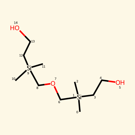 C[Si](C)(CCO)COC[Si](C)(C)CCO